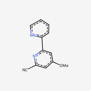 COc1cc(C#N)nc(-c2ccccn2)c1